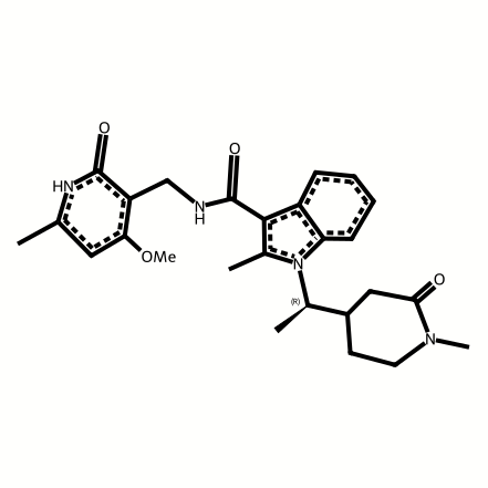 COc1cc(C)[nH]c(=O)c1CNC(=O)c1c(C)n([C@H](C)C2CCN(C)C(=O)C2)c2ccccc12